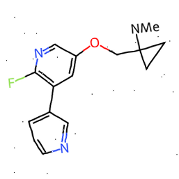 CNC1(COc2cnc(F)c(-c3cccnc3)c2)CC1